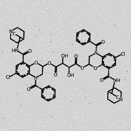 O=C(NC1CN2CCC1CC2)c1cc(Cl)cc2c1OC(OC(=O)C(O)C(O)C(=O)OC1CN(C(=O)c3ccccc3)c3cc(Cl)cc(C(=O)NC4CN5CCC4CC5)c3O1)CN2C(=O)c1ccccc1